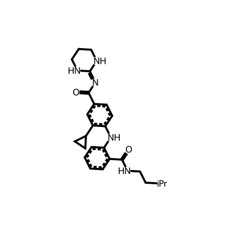 CC(C)CCNC(=O)c1ccccc1Nc1ccc(C(=O)N=C2NCCCN2)cc1C1CC1